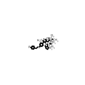 Cc1nc(C)c(C(OC(C)(C)C)C(=O)OC(C)C)c(N2CC3CCCC3C2)c1-c1ccc(OCCc2ccc(F)cc2)cc1